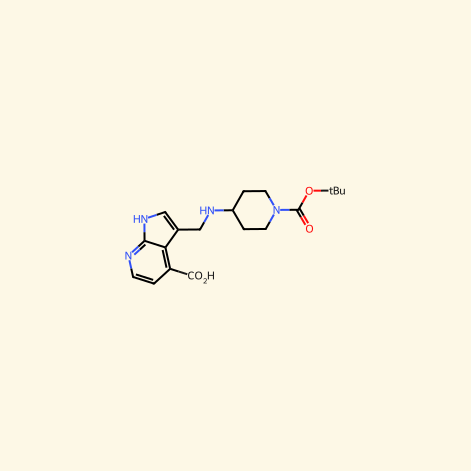 CC(C)(C)OC(=O)N1CCC(NCc2c[nH]c3nccc(C(=O)O)c23)CC1